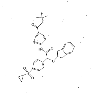 CC(C)(C)OC(=O)c1ccc(NC(=O)C(OC2Cc3ccccc3C2)c2ccc(S(=O)(=O)C3CC3)cc2)nc1